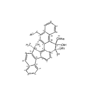 CCC1(CC)[n+]2cnc3c(c2-c2cc(CC(C)C)c4ccccc4c2C1(O)OC)C(C)(C)c1ccc2ccccc2c1-3